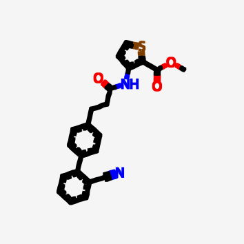 COC(=O)c1sccc1NC(=O)CCc1ccc(-c2ccccc2C#N)cc1